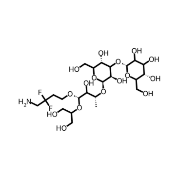 C[C@@H](O[C@H]1OC(CO)[C@H](O)C(O[C@H]2OC(CO)[C@@H](O)C(O)C2O)[C@H]1O)C(O)[C@@H](OCCC(F)(F)CN)OC(CO)CO